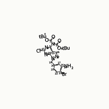 CC(C)(C)OC(=O)N(C(=O)OC(C)(C)C)c1nc(Cl)nc2c1cnn2Cc1ccc(Br)c(N)c1